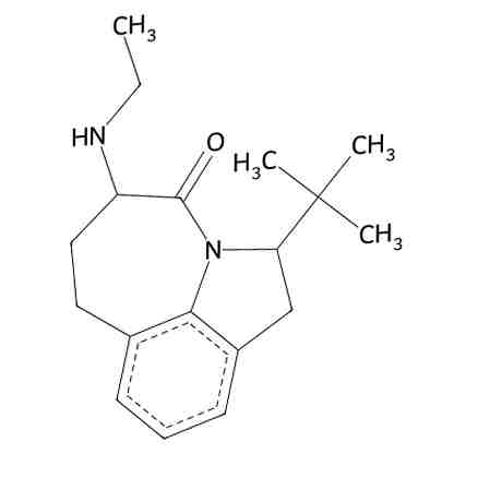 CCNC1CCc2cccc3c2N(C1=O)C(C(C)(C)C)C3